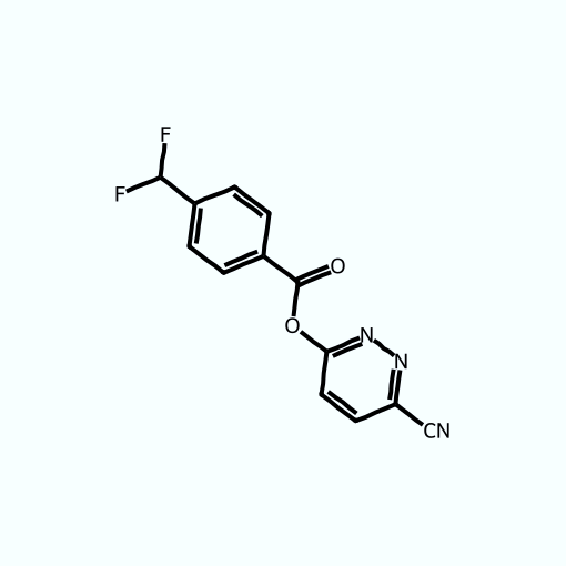 N#Cc1ccc(OC(=O)c2ccc(C(F)F)cc2)nn1